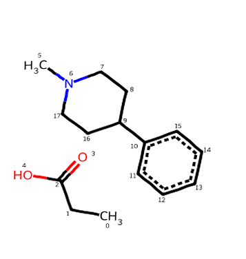 CCC(=O)O.CN1CCC(c2ccccc2)CC1